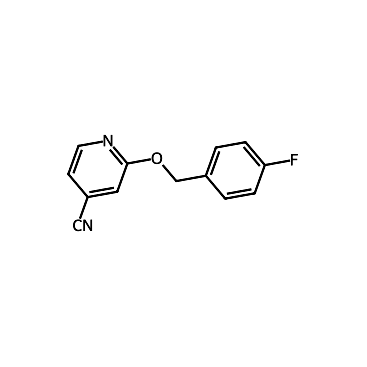 N#Cc1ccnc(OCc2ccc(F)cc2)c1